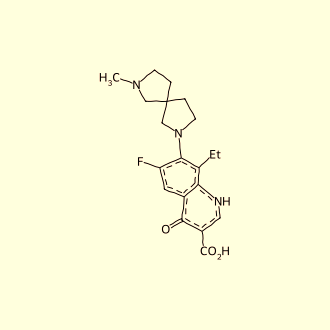 CCc1c(N2CCC3(CCN(C)C3)C2)c(F)cc2c(=O)c(C(=O)O)c[nH]c12